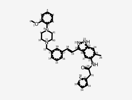 COc1ccccc1N1CCN(Cc2cccc(C=Cc3n[nH]c4cc(C)c(NC(=O)Cc5cccs5)cc34)c2)CC1